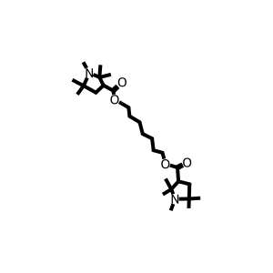 CN1C(C)(C)CC(C(=O)OCCCCCCCOC(=O)C2CC(C)(C)N(C)C2(C)C)C1(C)C